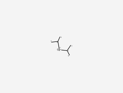 CC(C)[Te+]C(C)C